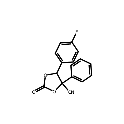 N#CC1(c2ccccc2)OC(=O)OC1c1ccc(F)cc1